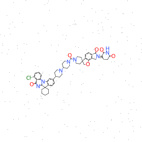 O=C1CC[C@H](N2Cc3c(ccc4c3OCC43CCN(C(=O)N4CCC(N5CCC(c6ccc7c(c6)-n6c(nc(=O)c8c(Cl)cccc86)C76CCCCC6)CC5)CC4)CC3)C2=O)C(=O)N1